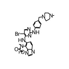 CN1CCN(Cc2ccc(Nc3ncc(Br)c(Nc4ccc5nccnc5c4N(C)S(C)(=O)=O)n3)cc2)CC1